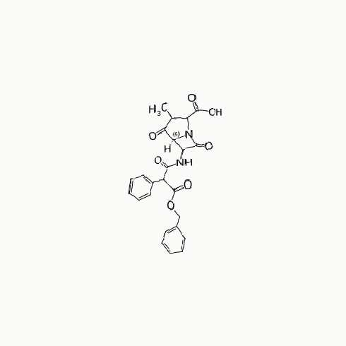 CC1C(=O)[C@@H]2C(NC(=O)C(C(=O)OCc3ccccc3)c3ccccc3)C(=O)N2C1C(=O)O